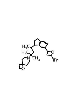 CC(C)C1CC(c2ccc3c(c2)C(C(C)CC(C)(C)N2CCC4(CCO4)CC2)CC3)O1